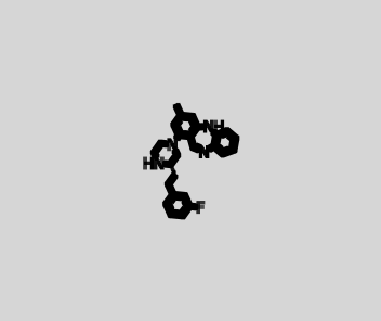 Cc1cc2c(c(N3CCN[C@@H](CCc4cccc(F)c4)C3)c1)C=Nc1ccccc1N2